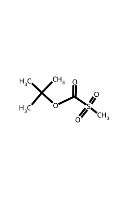 CC(C)(C)OC(=O)S(C)(=O)=O